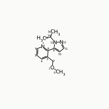 COCc1cccnc1-c1ccnn1C(C)C